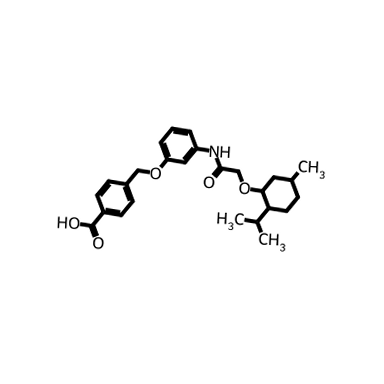 CC1CCC(C(C)C)C(OCC(=O)Nc2cccc(OCc3ccc(C(=O)O)cc3)c2)C1